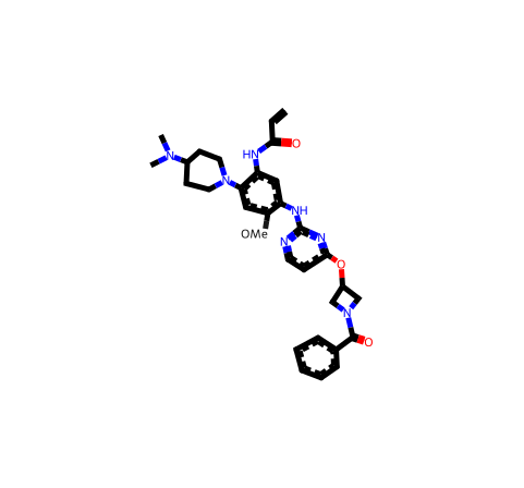 C=CC(=O)Nc1cc(Nc2nccc(OC3CN(C(=O)c4ccccc4)C3)n2)c(OC)cc1N1CCC(N(C)C)CC1